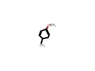 COC1=C[CH]C(C)C=C1